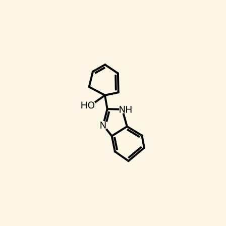 OC1(c2nc3ccccc3[nH]2)C=CC=CC1